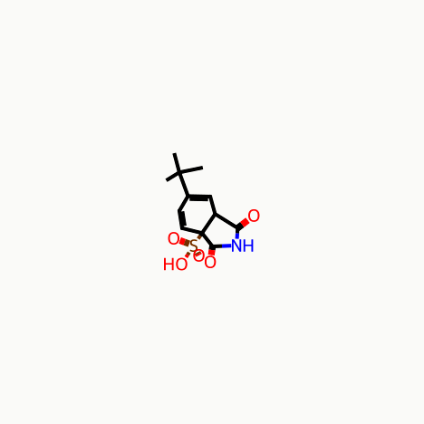 CC(C)(C)C1=CC2C(=O)NC(=O)C2(S(=O)(=O)O)C=C1